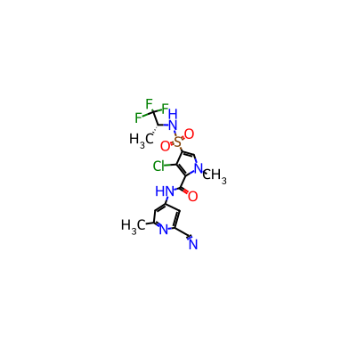 Cc1cc(NC(=O)c2c(Cl)c(S(=O)(=O)N[C@H](C)C(F)(F)F)cn2C)cc(C#N)n1